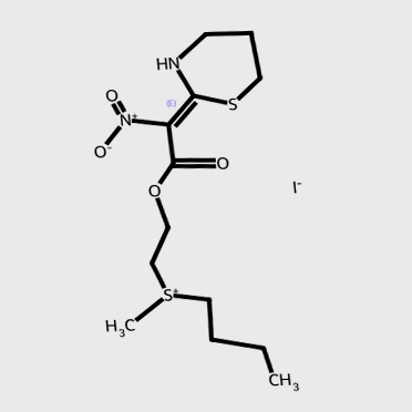 CCCC[S+](C)CCOC(=O)/C(=C1/NCCCS1)[N+](=O)[O-].[I-]